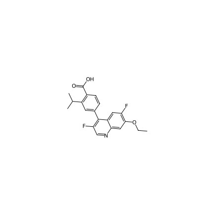 CCOc1cc2ncc(F)c(-c3ccc(C(=O)O)c(C(C)C)c3)c2cc1F